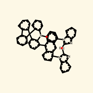 CCc1nc2ccccc2n1-c1cccc2c(-c3cccc4c3N(c3ccccc3)c3ccccc3C43c4ccccc4-c4ccccc43)c3cccc(-n4c(CC)nc5ccccc54)c3cc12